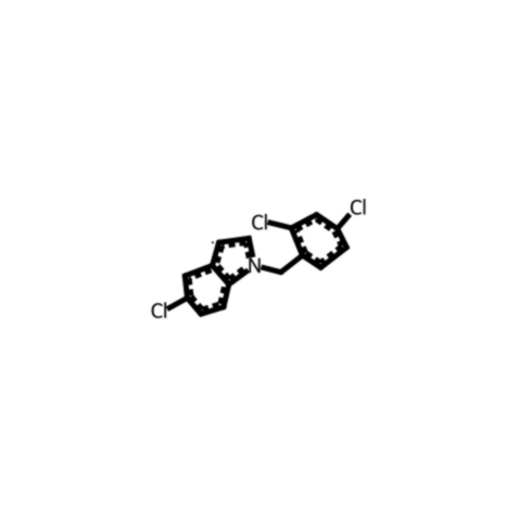 Clc1ccc(Cn2c[c]c3cc(Cl)ccc32)c(Cl)c1